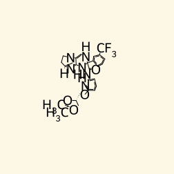 CC1(C)OC[C@@H](COc2cccc(NC(=O)C3(c4cccc(C(F)(F)F)c4)NC=C4C(=N[C@H]5CCN4C5)N3)n2)O1